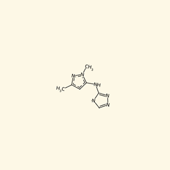 Cc1cc(NC2=NN=C[N]2)n(C)n1